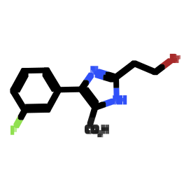 O=C(O)c1[nH]c(CCBr)nc1-c1cccc(F)c1